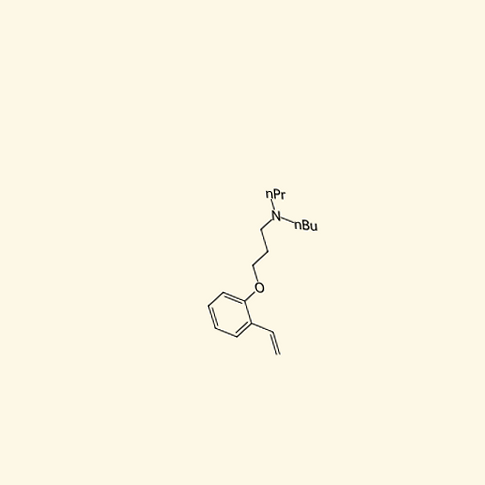 C=Cc1ccccc1OCCCN(CCC)CCCC